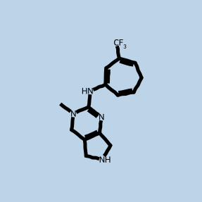 CN1CC2=C(CNC2)N=C1NC1=CC(C(F)(F)F)=CCC=C1